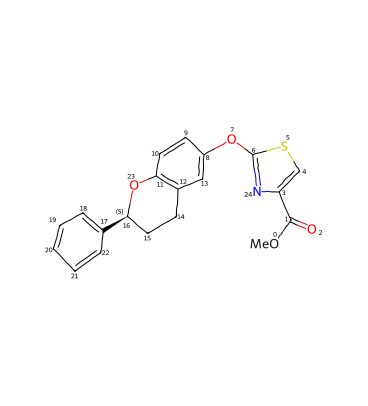 COC(=O)c1csc(Oc2ccc3c(c2)CC[C@@H](c2ccccc2)O3)n1